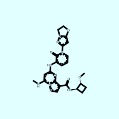 CNc1cc(Nc2cccn(-c3cc4n(n3)CCO4)c2=O)nc2c(C(=O)N[C@@H]3CC[C@H]3OC)cnn12